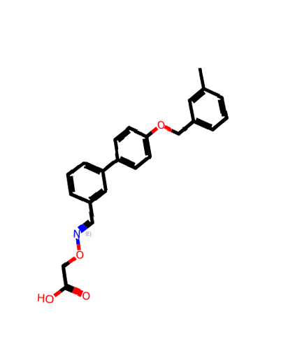 Cc1cccc(COc2ccc(-c3cccc(/C=N/OCC(=O)O)c3)cc2)c1